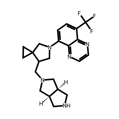 FC(F)(F)c1ccc(N2CC(CN3C[C@H]4CNC[C@H]4C3)C3(CC3)C2)c2nccnc12